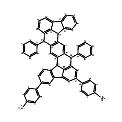 CC(C)(C)c1ccc(-c2ccc3c(c2)-c2cc(-c4ccc(C(C)(C)C)cc4)cc4c2B3c2cc3c(cc2N4c2ccccc2)B2c4ccccc4-c4cccc(c42)N3c2ccccc2)cc1